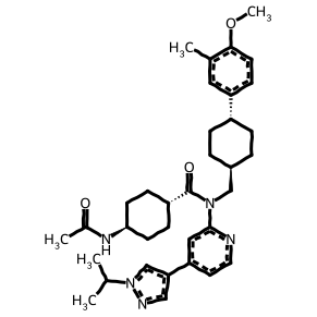 COc1ccc([C@H]2CC[C@H](CN(c3cc(-c4cnn(C(C)C)c4)ccn3)C(=O)[C@H]3CC[C@H](NC(C)=O)CC3)CC2)cc1C